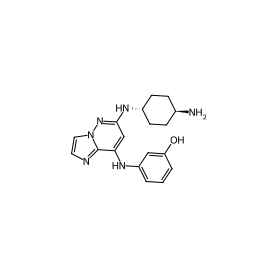 N[C@H]1CC[C@H](Nc2cc(Nc3cccc(O)c3)c3nccn3n2)CC1